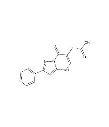 O=C(O)Cc1c[nH]c2cc(-c3ccccc3)nn2c1=O